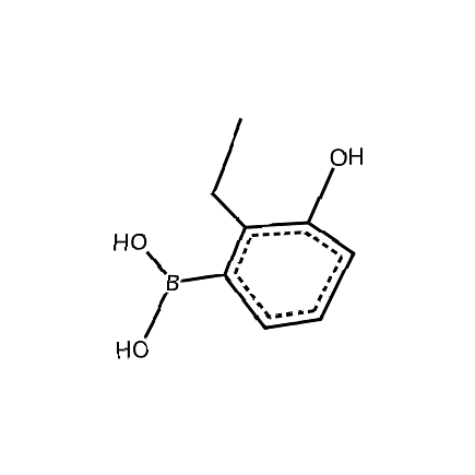 CCc1c(O)cccc1B(O)O